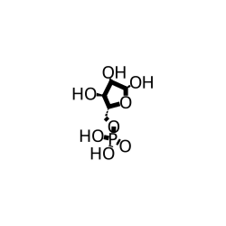 O=P(O)(O)OC[C@H]1O[C@@H](O)[C@@H](O)[C@@H]1O